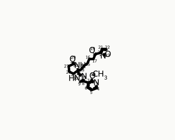 COc1ncccc1-c1c[nH]c(C2(CCCCCC(=O)c3ccon3)CCCC(=O)N2)n1